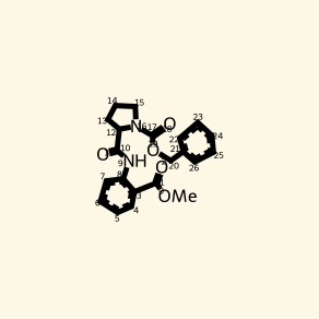 COC(=O)c1ccccc1NC(=O)C1CCCN1C(=O)OCc1ccccc1